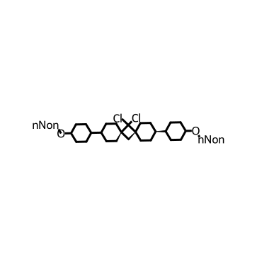 CCCCCCCCCOC1CCC(C2CC[C@]3(CC2)C[C@@]2(CC[C@H](C4CCC(OCCCCCCCCC)CC4)CC2)C3(Cl)Cl)CC1